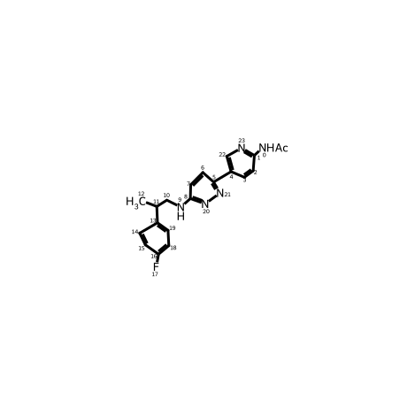 CC(=O)Nc1ccc(-c2ccc(NCC(C)c3ccc(F)cc3)nn2)cn1